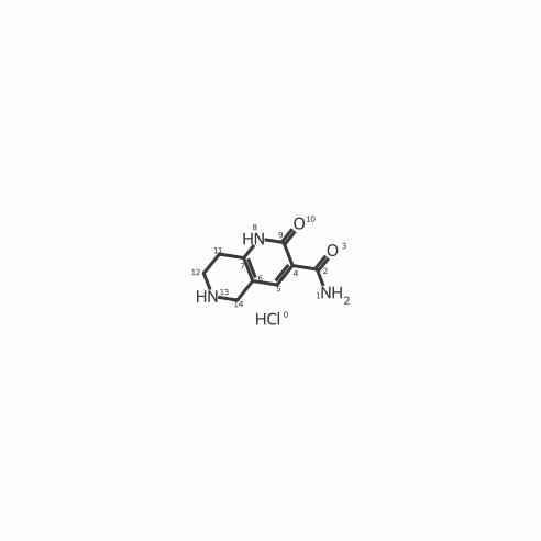 Cl.NC(=O)c1cc2c([nH]c1=O)CCNC2